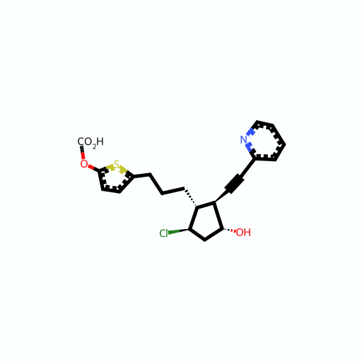 O=C(O)Oc1ccc(CCC[C@@H]2[C@@H](C#Cc3ccccn3)[C@H](O)C[C@H]2Cl)s1